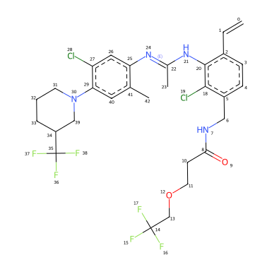 C=Cc1ccc(CNC(=O)CCOCC(F)(F)F)c(Cl)c1N/C(C)=N/c1cc(Cl)c(N2CCCC(C(F)(F)F)C2)cc1C